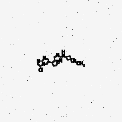 CN1CC2(CC(Nc3ncc4c(-c5cnc6ncc(Cl)n6c5)ccn4n3)C2)C1